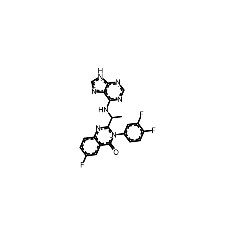 CC(Nc1ncnc2[nH]cnc12)c1nc2ccc(F)cc2c(=O)n1-c1ccc(F)c(F)c1